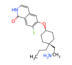 CC[C@@H](N)[C@]1(CC)CC[C@@H](Oc2cc3cc[nH]c(=O)c3cc2F)CC1